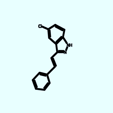 Clc1ccc2[nH]nc(C=Cc3ccccc3)c2c1